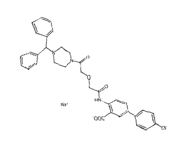 N#Cc1ccc(-c2ccc(NC(=O)COCC(=O)N3CCN(C(c4ccccc4)c4ccccc4)CC3)c(C(=O)[O-])c2)cc1.[Na+]